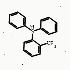 FC(F)(F)c1ccccc1[SH](c1ccccc1)c1ccccc1